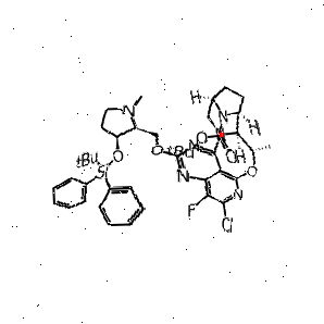 C[C@@H]1Oc2nc(Cl)c(F)c3nc(OC[C@H]4[C@@H](O[Si](c5ccccc5)(c5ccccc5)C(C)(C)C)CCN4C)nc(c23)N2C[C@H]3CC[C@@H]([C@@H]12)N3C(=O)OC(C)(C)C